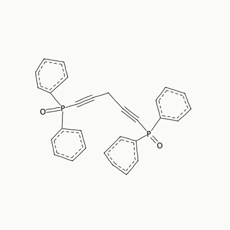 O=P(C#CCC#CP(=O)(c1ccccc1)c1ccccc1)(c1ccccc1)c1ccccc1